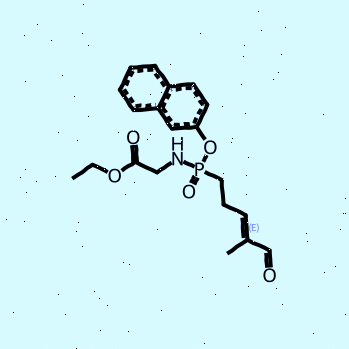 CCOC(=O)CNP(=O)(CC/C=C(\C)C=O)Oc1ccc2ccccc2c1